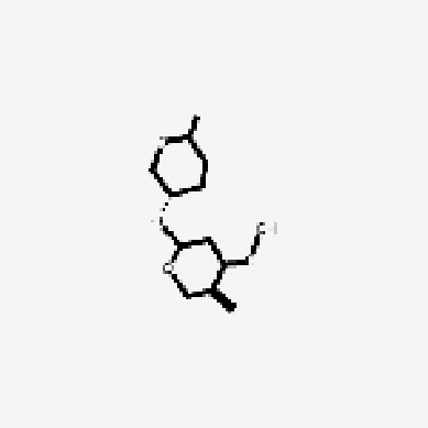 C=C1COC(O[C@H]2CCC(C)OC2)CC1OO